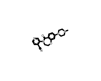 CN1CCN(c2ccc3c(c2)OCCN(c2cnccc2C#N)C3=O)CC1